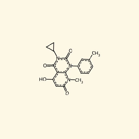 Cc1cccc(-n2c(=O)n(C3CC3)c(=O)c3c(O)cc(=O)n(C)c32)c1